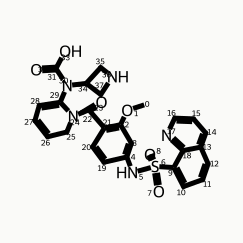 COc1cc(NS(=O)(=O)c2cccc3cccnc23)ccc1C(=O)N1CC=CC=C1N(C(=O)O)C1CNC1